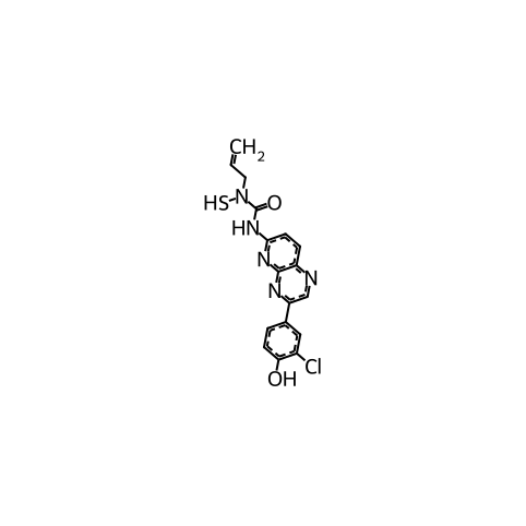 C=CCN(S)C(=O)Nc1ccc2ncc(-c3ccc(O)c(Cl)c3)nc2n1